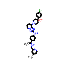 C=C(NCc1cc(C)ccn1)c1ccc(Nc2nc3c(N4CCC(O)(c5ccc(Cl)cc5)CC4)cccn3n2)cc1